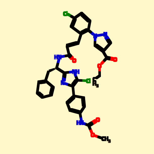 CCOC(=O)c1cnn(-c2ccc(Cl)cc2/C=C/C(=O)N[C@@H](Cc2ccccc2)c2nc(-c3ccc(NC(=O)OC)cc3)c(Cl)[nH]2)c1